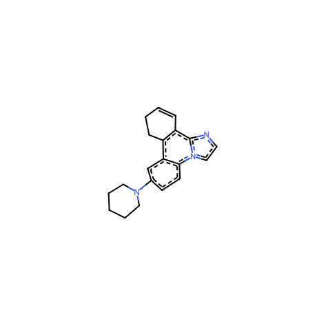 C1=Cc2c(c3cc(N4CCCCC4)ccc3n3ccnc23)CC1